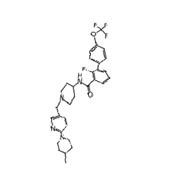 CC1CCN(c2ccc(CN3CCC(NC(=O)c4cccc(-c5ccc(OC(F)(F)F)cc5)c4F)CC3)cn2)CC1